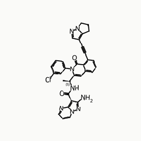 C[C@H](NC(=O)c1c(N)nn2cccnc12)c1cc2cccc(C#Cc3cnn4c3CCC4)c2c(=O)n1-c1cccc(Cl)c1